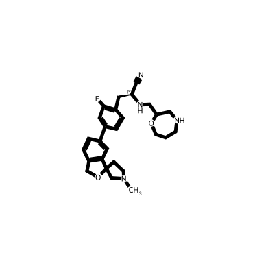 CN1CCC2(C1)OCc1ccc(-c3ccc(C[C@@H](C#N)NCC4CNCCCO4)c(F)c3)cc12